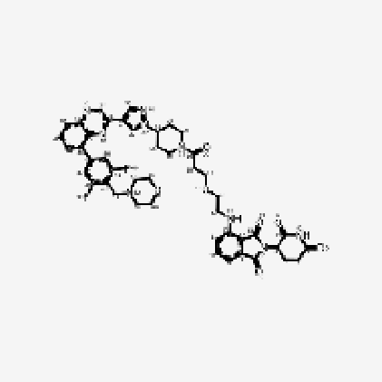 O=C1CCC(N2C(=O)c3cccc(NCCOCCC(=O)N4CCC(n5cc(-c6cnc7cccc(-c8cc(F)c(CN9CCOCC9)c(F)c8)c7n6)cn5)CC4)c3C2=O)C(=O)N1